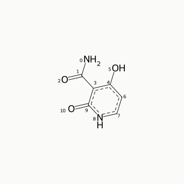 NC(=O)c1c(O)cc[nH]c1=O